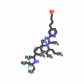 C=C(/C=C\C(C)=C(/C)N(C(=C)Nc1cc(CCCCO)ccn1)C(CC)CCC)C(=C)N[C@H](CC)C(C)(F)F